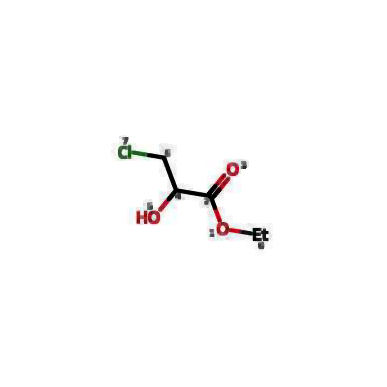 CCOC(=O)C(O)CCl